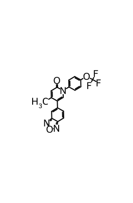 Cc1cc(=O)n(-c2ccc(OC(F)(F)F)cc2)cc1-c1ccc2nonc2c1